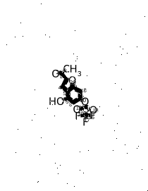 CC(=O)c1cc2c(O)cc(OS(=O)(=O)C(F)(F)F)cc2o1